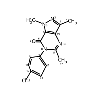 Cc1nn(C)c2c(=O)n(-c3ccc(Cl)cc3)c(C)nc12